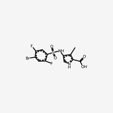 Cc1c(NS(=O)(=O)c2cc(F)c(Br)cc2F)c[nH]c1C(=O)O